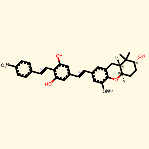 COc1cc(/C=C/c2cc(O)c(/C=C/c3ccc([N+](=O)[O-])cc3)c(O)c2)cc2c1O[C@]1(C)CC[C@@H](O)C(C)(C)[C@H]1C2